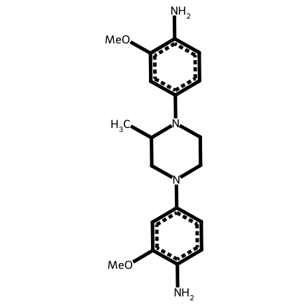 COc1cc(N2CCN(c3ccc(N)c(OC)c3)C(C)C2)ccc1N